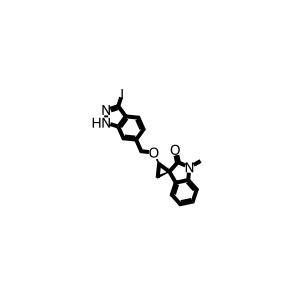 CN1C(=O)[C@]2(C[C@@H]2OCc2ccc3c(I)n[nH]c3c2)c2ccccc21